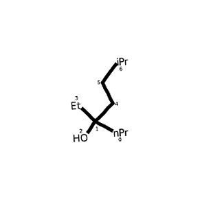 CCCC(O)(CC)CCC(C)C